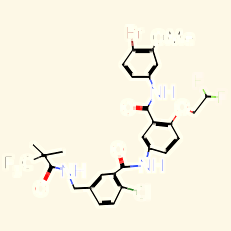 COc1cc(NC(=O)c2cc(NC(=O)c3cc(CNC(=O)C(C)(C)C(F)(F)F)ccc3Cl)ccc2OCC(F)F)ccc1Br